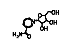 NC(=O)c1ccc[n+](C2OC(CO)C(O)C2O)c1